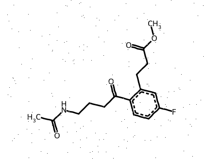 COC(=O)CCc1cc(F)ccc1C(=O)CCCNC(C)=O